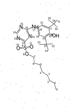 CCCCCCCCOS(=O)(=O)c1ncnc(Nc2cc(C(C)(C)C)c(O)c(C(C)(C)C)c2)n1